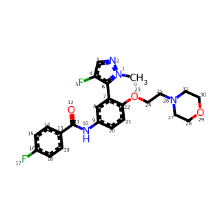 Cn1ncc(F)c1-c1cc(NC(=O)c2ccc(F)cc2)ccc1OCCN1CCOCC1